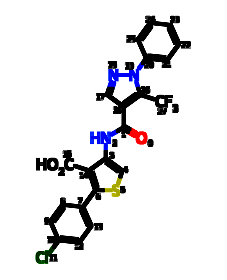 O=C(Nc1csc(-c2ccc(Cl)cc2)c1C(=O)O)c1cnn(-c2ccccc2)c1C(F)(F)F